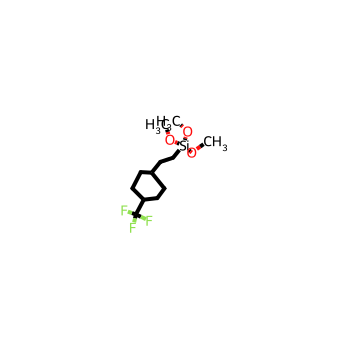 CO[Si](CCC1CCC(C(F)(F)F)CC1)(OC)OC